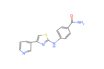 NC(=O)c1ccc(Nc2nc(-c3cccnc3)cs2)cc1